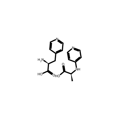 C[C@H](Nc1ccncc1)C(=O)O.N[C@@H](Cc1ccncc1)C(=O)O